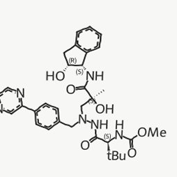 COC(=O)N[C@H](C(=O)NN(Cc1ccc(-c2cnccn2)cc1)C[C@](C)(O)C(=O)N[C@H]1c2ccccc2C[C@H]1O)C(C)(C)C